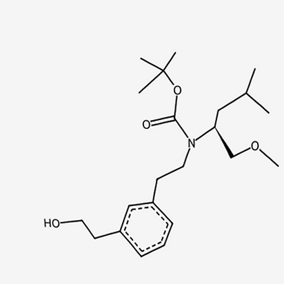 COC[C@H](CC(C)C)N(CCc1cccc(CCO)c1)C(=O)OC(C)(C)C